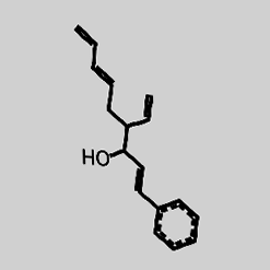 C=CC=CCC(C=C)C(O)C=Cc1ccccc1